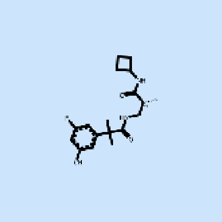 C[C@H](CNC(=O)C(C)(C)c1cc(F)cc(C#N)c1)C(=O)NC1CCC1